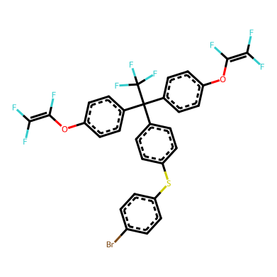 FC(F)=C(F)Oc1ccc(C(c2ccc(OC(F)=C(F)F)cc2)(c2ccc(Sc3ccc(Br)cc3)cc2)C(F)(F)F)cc1